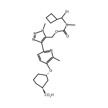 CCC(C1CCC1)N(C)C(=O)OCc1c(-c2ccc(O[C@H]3CCC[C@H](C(=O)O)C3)c(C)n2)nnn1C